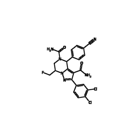 N#Cc1ccc(C2c3c(C(N)=O)c(-c4ccc(Cl)c(Cl)c4)nn3C(CF)CN2C(N)=O)cc1